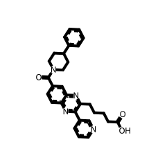 O=C(O)CCCCc1nc2cc(C(=O)N3CCC(c4ccccc4)CC3)ccc2nc1-c1cccnc1